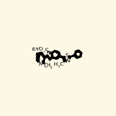 CCOC(=O)n1c(-c2cccnc2C)cc2cc(-c3sc(-c4ccccc4)nc3C)ccc21